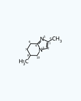 Cc1cn2c(n1)CCC(C)C2